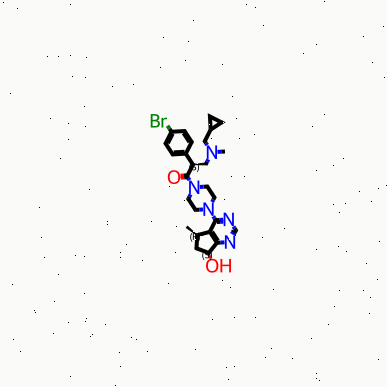 C[C@@H]1C[C@H](O)c2ncnc(N3CCN(C(=O)[C@H](CN(C)CC4CC4)c4ccc(Br)cc4)CC3)c21